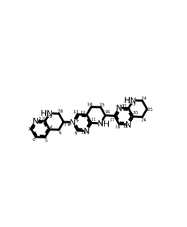 c1cnc2c(c1)CC([n+]1cnc3c(c1)CCC(c1cnc4c(n1)NCCC4)N3)CN2